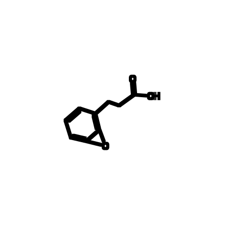 O=C(O)CCc1cccc2c1O2